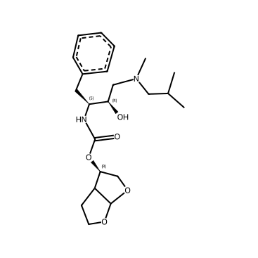 CC(C)CN(C)C[C@@H](O)[C@H](Cc1ccccc1)NC(=O)O[C@H]1COC2OCCC21